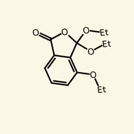 CCOc1cccc2c1C(OCC)(OCC)OC2=O